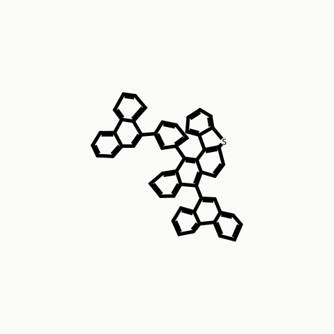 c1cc(-c2cc3ccccc3c3ccccc23)cc(-c2c3ccccc3c(-c3cc4ccccc4c4ccccc34)c3ccc4sc5ccccc5c4c23)c1